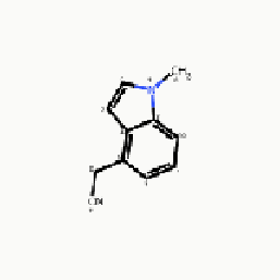 Cn1ccc2c(CC#N)cccc21